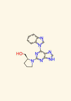 OC[C@@H]1CCCN1c1nc(-n2cnc3ccccc32)c2nc[nH]c2n1